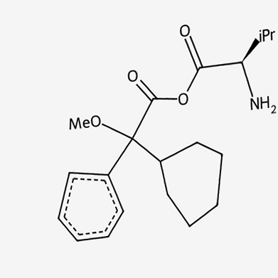 COC(C(=O)OC(=O)[C@H](N)C(C)C)(c1ccccc1)C1CCCCC1